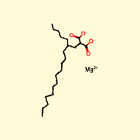 CCCCCCCCCCCCC(CCCCC)CC(C(=O)[O-])C(=O)[O-].[Mg+2]